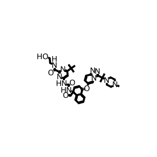 CN1CCN(C(C)(C)c2nnc3ccc(O[C@@H]4C=C[C@](C=O)(NC(=O)Nc5cc(C(C)(C)C)nc(C(=O)NCCO)n5)c5ccccc54)cn23)CC1